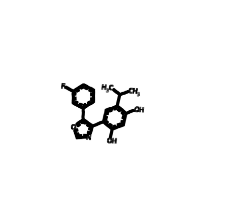 CC(C)c1cc(-c2ncoc2-c2cccc(F)c2)c(O)cc1O